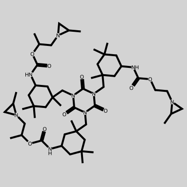 CC(CN1CC1C)OC(=O)NC1CC(C)(C)CC(C)(Cn2c(=O)n(CC3(C)CC(NC(=O)OCCN4CC4C)CC(C)(C)C3)c(=O)n(CC3(C)CC(NC(=O)OC(C)CN4CC4C)CC(C)(C)C3)c2=O)C1